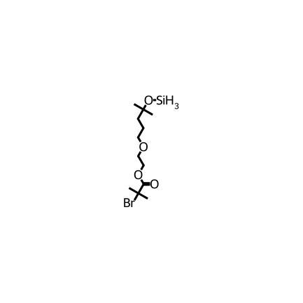 CC(C)(CCCOCCOC(=O)C(C)(C)Br)O[SiH3]